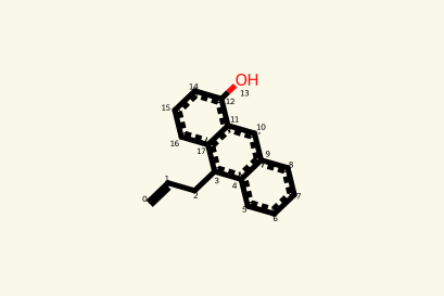 C=CCc1c2ccccc2[c]c2c(O)cccc12